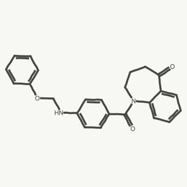 O=C1CCCN(C(=O)c2ccc(NCOc3ccccc3)cc2)c2ccccc21